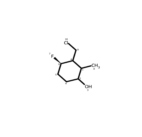 CC1C(O)CC[C@@H](F)C1CCl